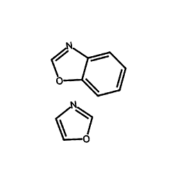 c1ccc2ocnc2c1.c1cocn1